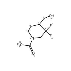 O=C(N1CCC(CO)C(F)(F)C1)C(F)(F)F